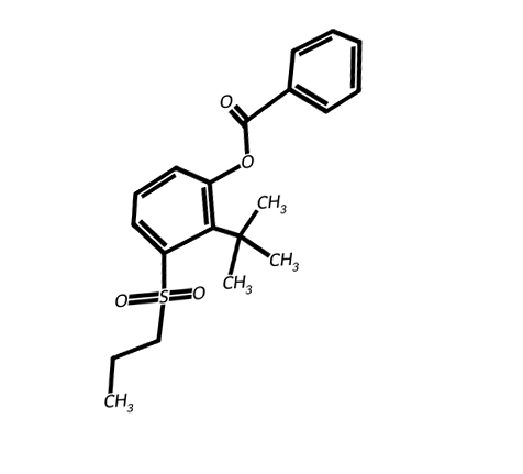 CCCS(=O)(=O)c1cccc(OC(=O)c2ccccc2)c1C(C)(C)C